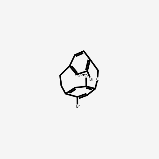 COc1cc2c(Br)cc1CCc1ccc(cc1Br)CC2